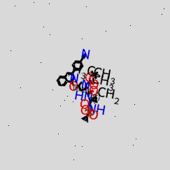 C=C[C@@H]1C[C@]1(NC(=O)[C@@H]1C[C@@H](Oc2nc(-c3ccc(C#N)cc3)cc3ccccc23)CN1C(=O)OC(C)(C)C)C(=O)NS(=O)(=O)C1CC1